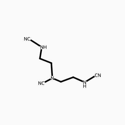 N#CNCCN(C#N)CCNC#N